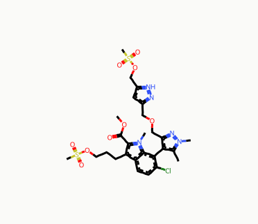 COC(=O)c1c(CCCOS(C)(=O)=O)c2ccc(Cl)c(-c3c(COCc4cc(COS(C)(=O)=O)[nH]n4)nn(C)c3C)c2n1C